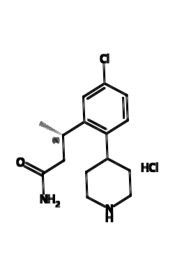 C[C@@H](CC(N)=O)c1cc(Cl)ccc1C1CCNCC1.Cl